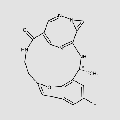 C[C@H]1Nc2ncc(cnn3cc2-3)C(=O)NCCc2cc3cc(F)cc1c3o2